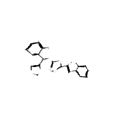 CCn1c(SC(C2=COCO2)c2ccccc2Cl)nnc1-c1cc2ccccc2s1